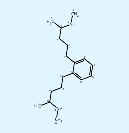 CNC(C)CCCc1ccccc1CCCC(C)NC